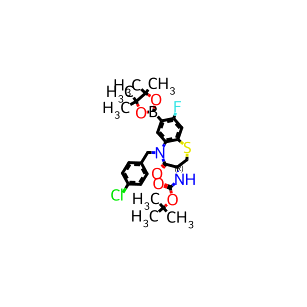 CC(C)(C)OC(=O)N[C@H]1CSc2cc(F)c(B3OC(C)(C)C(C)(C)O3)cc2N(Cc2ccc(Cl)cc2)C1=O